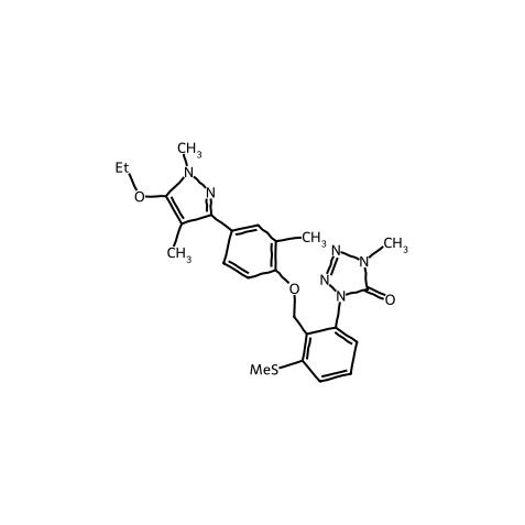 CCOc1c(C)c(-c2ccc(OCc3c(SC)cccc3-n3nnn(C)c3=O)c(C)c2)nn1C